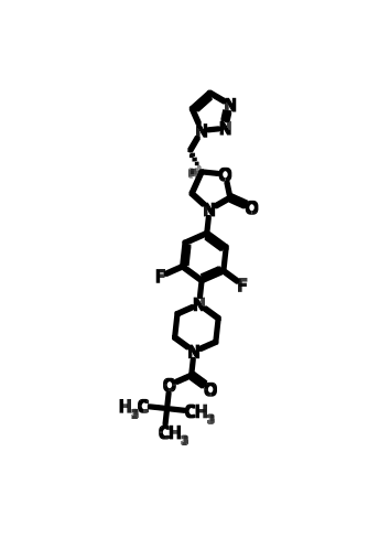 CC(C)(C)OC(=O)N1CCN(c2c(F)cc(N3C[C@H](Cn4ccnn4)OC3=O)cc2F)CC1